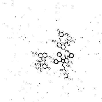 CC(C)c1c(C(=O)Nc2ccccc2)c(-c2ccccc2)c(-c2ccc(F)cc2)n1CC[C@@H](O)C[C@@H](O)CC(=O)O.CCC(C)(C)C(=O)O[C@H]1C[C@@H](C)C=C2C=C[C@H](C)[C@H](CC[C@@H]3C[C@@H](O)CC(=O)O3)[C@H]21.CC[C@H](C)C(=O)O[C@H]1C[C@@H](C)C=C2C=C[C@H](C)[C@H](CC[C@@H]3C[C@@H](O)CC(=O)O3)[C@H]21